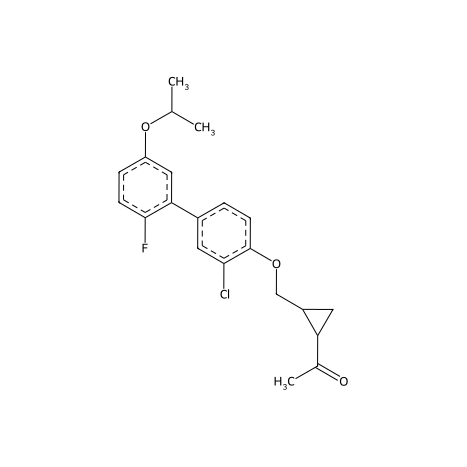 CC(=O)C1CC1COc1ccc(-c2cc(OC(C)C)ccc2F)cc1Cl